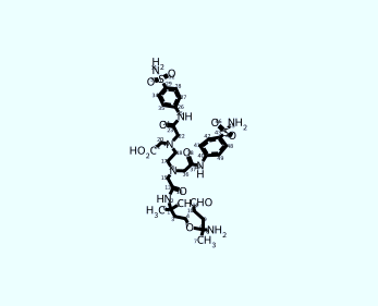 CC(C)(CCOC(C)(N)CCC=O)NC(=O)CN(CCN(CC(=O)O)CC(=O)Nc1ccc(S(N)(=O)=O)cc1)CC(=O)Nc1ccc(S(N)(=O)=O)cc1